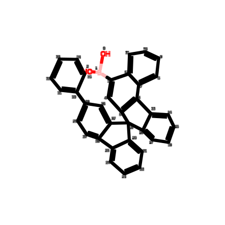 OB(O)c1cc2c(c3ccccc13)-c1ccccc1C21c2ccccc2-c2ccc(-c3ccccc3)cc21